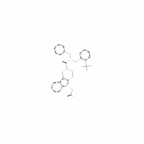 O=C(O)Cn1c2c(c3ccccc31)CC(C(=O)N(Cc1ccccc1)Cc1ccccc1C(F)(F)F)CC2